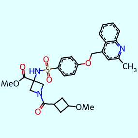 COC(=O)C1(NS(=O)(=O)c2ccc(OCc3cc(C)nc4ccccc34)cc2)CN(C(=O)C2CC(OC)C2)C1